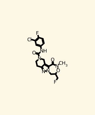 CN1OC(CF)Cn2nc3c(c2C1=O)CN(C(=O)Nc1ccc(F)c(Cl)c1)CC3